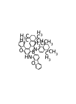 CC1(C)CCC(C)(C)c2cc(N3B4c5ccc6c(oc7ccccc76)c5Nc5cc6oc7ccccc7c6c(c54)-c4cc5c(cc43)C(C)(C)CCC5(C)C)ccc21